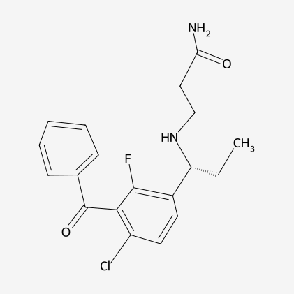 CC[C@@H](NCCC(N)=O)c1ccc(Cl)c(C(=O)c2ccccc2)c1F